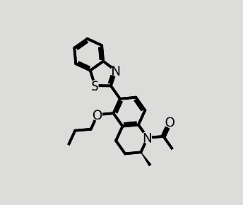 CCCOc1c(-c2nc3ccccc3s2)ccc2c1CC[C@H](C)N2C(C)=O